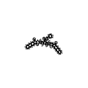 O=C1C(=Cc2cc3sc4c5sc6cc(C=C7C(=O)c8cc9cc%10ccccc%10cc9cc8C7=O)sc6c5n(C(=O)OCc5ccccc5)c4c3s2)C(=O)c2cc3cc4ccccc4cc3cc21